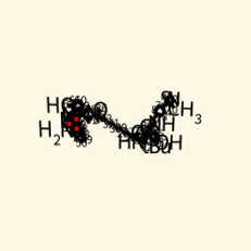 Cc1ncsc1-c1ccc(CNC(=O)[C@@H]2C[C@@H](O)CN2C(=O)[C@@H](NC(=O)CCCCCCCCCC(=O)N2CCN(Cc3cccc(N4C5CCC4CN(c4cc(-c6ccccc6O)nnc4N)C5)c3)CC2)C(C)(C)C)cc1